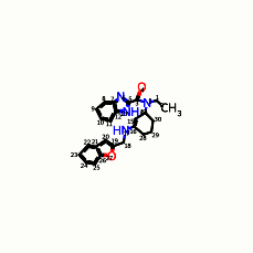 CCN(C(=O)c1nc2ccccc2[nH]1)[C@@H]1C=C(NCc2cc3ccccc3o2)CCC1